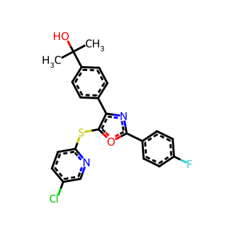 CC(C)(O)c1ccc(-c2nc(-c3ccc(F)cc3)oc2Sc2ccc(Cl)cn2)cc1